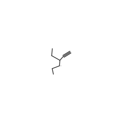 C#CC([CH]CC)CC